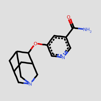 NC(=O)c1cncc(OC2C3CC4CC2CN(C4)C3)c1